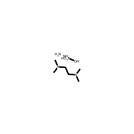 CN(C)CCN(C)C.N.N.O=S(=O)(O)O